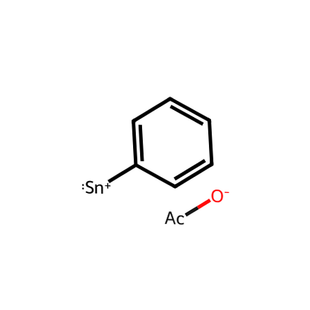 CC(=O)[O-].[Sn+][c]1ccccc1